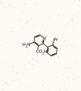 CC(C)c1ccccc1-c1nccc(N)c1C(=O)O